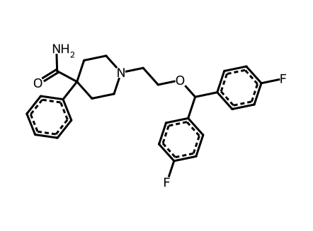 NC(=O)C1(c2ccccc2)CCN(CCOC(c2ccc(F)cc2)c2ccc(F)cc2)CC1